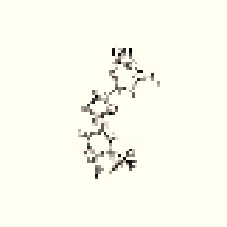 CC/C(=C\C(=O)O)c1ccc(-c2ccc(F)c(C(F)(F)F)c2)o1